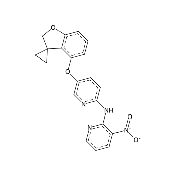 O=[N+]([O-])c1cccnc1Nc1ccc(Oc2cccc3c2C2(CC2)CO3)cn1